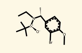 CCN([C@H](C)c1ccc(OC)c(Br)c1)[S@@+]([O-])C(C)(C)C